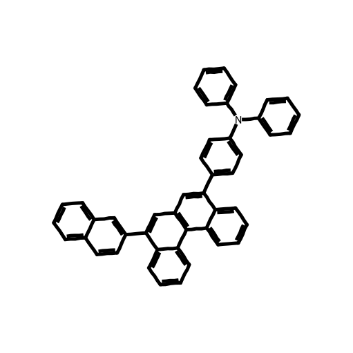 c1ccc(N(c2ccccc2)c2ccc(-c3cc4cc(-c5ccc6ccccc6c5)c5ccccc5c4c4ccccc34)cc2)cc1